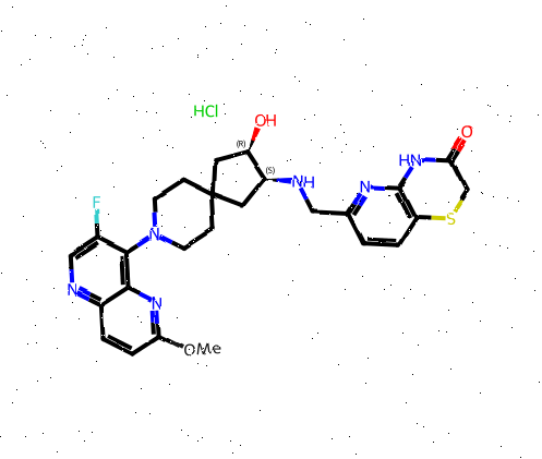 COc1ccc2ncc(F)c(N3CCC4(CC3)C[C@@H](O)[C@@H](NCc3ccc5c(n3)NC(=O)CS5)C4)c2n1.Cl